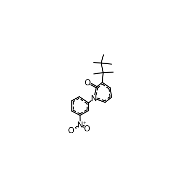 CC(C)(C)C(C)(C)c1cccn(-c2cccc([N+](=O)[O-])c2)c1=O